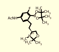 CC(=O)Nc1cc(F)c(B2OC(C)(C)C(C)(C)O2)c(CC[C@H]2COC(C)(C)N2C)c1